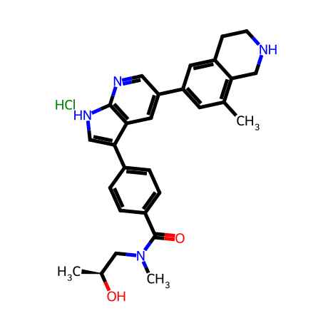 Cc1cc(-c2cnc3[nH]cc(-c4ccc(C(=O)N(C)C[C@H](C)O)cc4)c3c2)cc2c1CNCC2.Cl